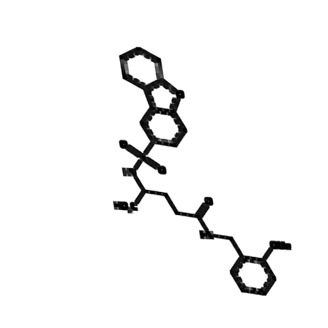 COc1ccccc1CNC(=O)CCC(NS(=O)(=O)c1ccc2oc3ccccc3c2c1)C(=O)O